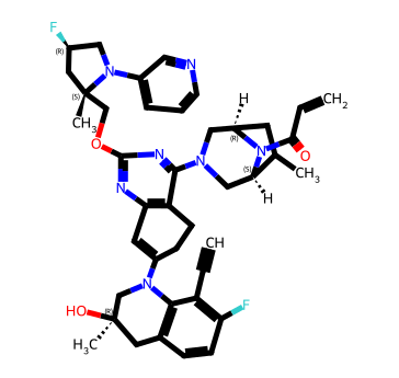 C#Cc1c(F)ccc2c1N(C1=Cc3nc(OC[C@]4(C)C[C@@H](F)CN4c4cccnc4)nc(N4C[C@H]5CC(C)[C@@H](C4)N5C(=O)C=C)c3CC1)C[C@](C)(O)C2